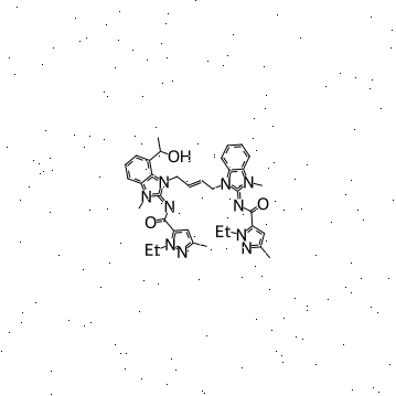 CCn1nc(C)cc1C(=O)/N=c1\n(C)c2ccccc2n1C/C=C/Cn1/c(=N/C(=O)c2cc(C)nn2CC)n(C)c2cccc(C(C)O)c21